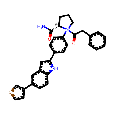 NC(=O)[C@@H]1CCC[N+]1(C(=O)Cc1ccccc1)c1ccc(-c2cc3cc(-c4ccsc4)ccc3[nH]2)cc1